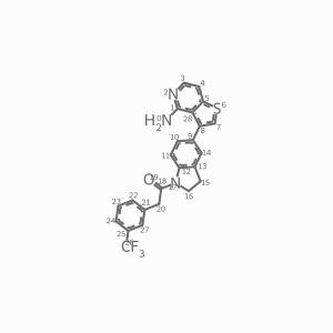 Nc1nccc2scc(-c3ccc4c(c3)CCN4C(=O)Cc3cccc(C(F)(F)F)c3)c12